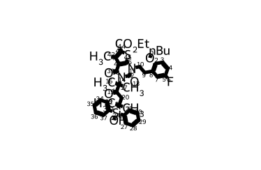 CCCCOc1ccc(F)cc1CCn1c(=O)n(C(C)(C)C(=O)CC(C)(C)[Si](O)(c2ccccc2)c2ccccc2)c(=O)c2c(C)c(C(=O)OCC)sc21